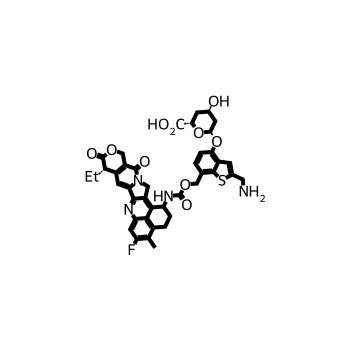 CC[C@@H]1C(=O)OCc2c1cc1n(c2=O)Cc2c-1nc1cc(F)c(C)c3c1c2C(NC(=O)OCc1ccc(O[C@H]2C[C@@H](O)C[C@@H](C(=O)O)O2)c2cc(CN)sc12)CC3